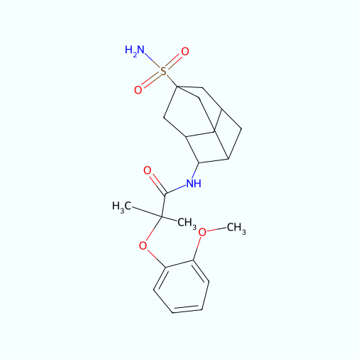 COc1ccccc1OC(C)(C)C(=O)NC1C2CC3CC1CC(S(N)(=O)=O)(C3)C2